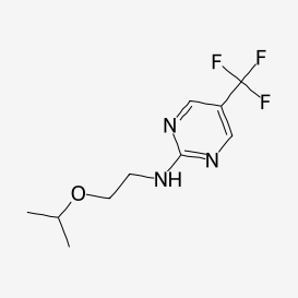 CC(C)OCCNc1ncc(C(F)(F)F)cn1